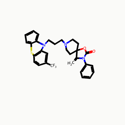 C=C1N(c2ccccc2)C(=O)OC12CCN(CCCN1c3ccccc3Sc3ccc(C(F)(F)F)cc31)CC2